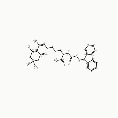 CC(=NCCCC[C@@H](NC(=O)OCC1c2ccccc2-c2ccccc21)C(=O)O)C1=C(O)CC(C)(C)CC1=O